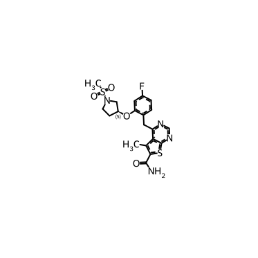 Cc1c(C(N)=O)sc2ncnc(Cc3ccc(F)cc3O[C@H]3CCN(S(C)(=O)=O)C3)c12